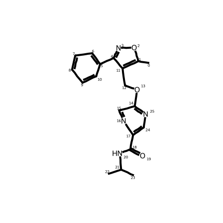 Cc1onc(-c2ccccc2)c1COc1cnc(C(=O)NC(C)C)cn1